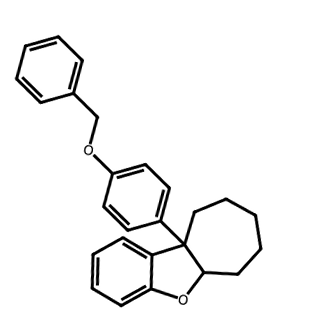 c1ccc(COc2ccc(C34CCCCCC3Oc3ccccc34)cc2)cc1